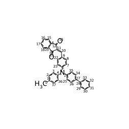 Cc1ccc(N(c2ccc(C=C3C(=O)c4ccccc4C3=O)cc2)c2ccc(-c3ccccc3)cc2)cc1